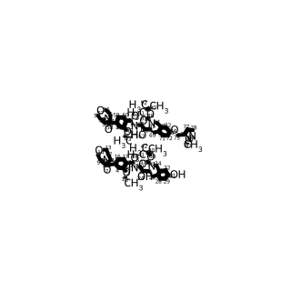 CCOc1cc(C(=O)N2C3CCC2COC3)ccc1C(=O)NC[C@@H](O)[C@@H]1Cc2ccc(O)cc2CN1C(=O)OC(C)(C)C.CCOc1cc(C(=O)N2C3CCC2COC3)ccc1C(=O)NC[C@@H](O)[C@@H]1Cc2ccc(OCc3ccnn3C)cc2CN1C(=O)OC(C)(C)C